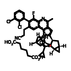 Cc1nc2c(F)c(-c3cccc(Cl)c3Cl)c(CCC#N)cc2c2c1cc([C@H]1C[C@H]3C[C@H]3N1C(=O)C1CC1)n2[C@H]1[C@H]2CN[C@@H]1C2.O=C(O)CCCCC(=O)O